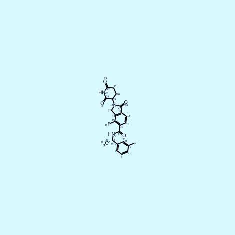 Cc1cccc([C@@H](NC(=O)c2ccc3c(c2F)CN(C2CCC(=O)NC2=O)C3=O)C(F)(F)F)c1